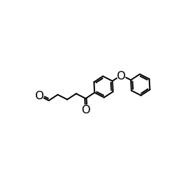 O=CCCCC(=O)c1ccc(Oc2ccccc2)cc1